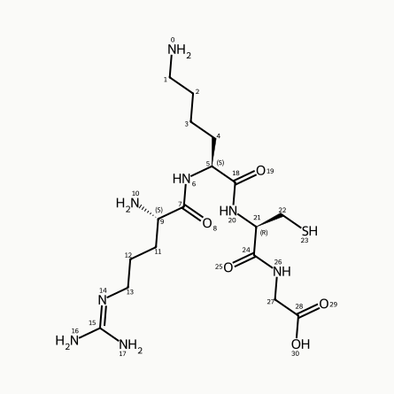 NCCCC[C@H](NC(=O)[C@@H](N)CCCN=C(N)N)C(=O)N[C@@H](CS)C(=O)NCC(=O)O